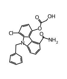 NC(=O)c1cccc2c1c1c(OC(=O)CO)ccc(Cl)c1n2Cc1ccccc1